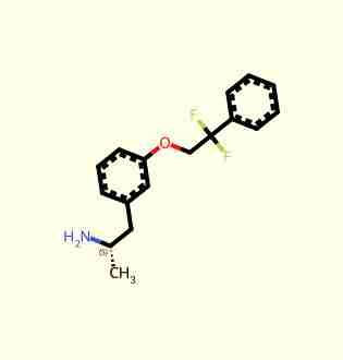 C[C@H](N)Cc1cccc(OCC(F)(F)c2ccccc2)c1